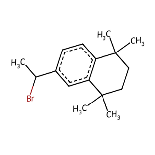 CC(Br)c1ccc2c(c1)C(C)(C)CCC2(C)C